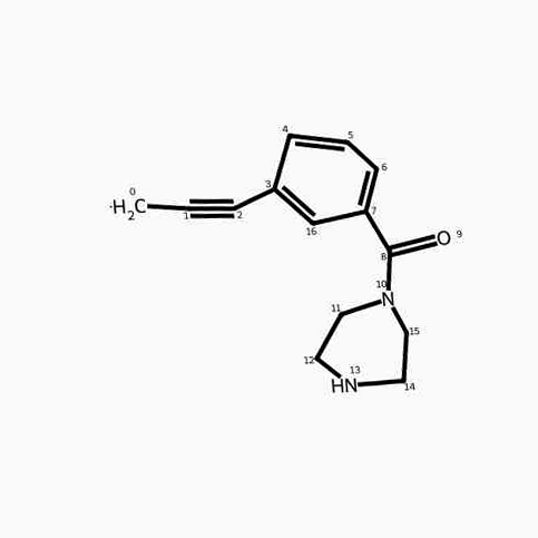 [CH2]C#Cc1cccc(C(=O)N2CCNCC2)c1